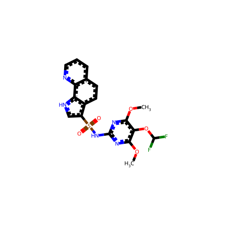 COc1nc(NS(=O)(=O)c2c[nH]c3c2ccc2cccnc23)nc(OC)c1OC(F)F